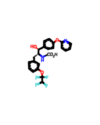 O=C(O)N[C@H](Cc1cccc(OC(F)(F)C(F)F)c1)[C@H](O)c1ccc(Oc2ccccn2)cc1